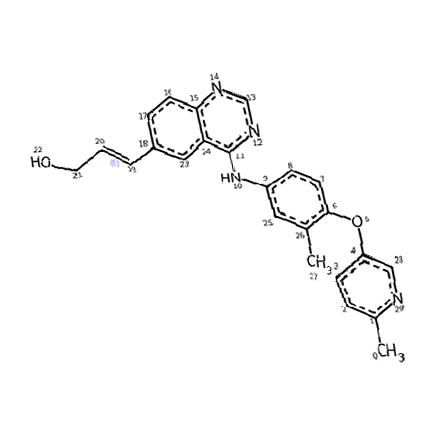 Cc1ccc(Oc2ccc(Nc3ncnc4ccc(/C=C/CO)cc34)cc2C)cn1